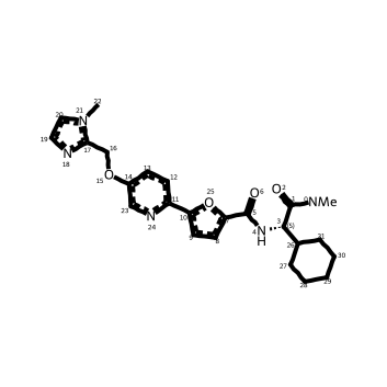 CNC(=O)[C@@H](NC(=O)c1ccc(-c2ccc(OCc3nccn3C)cn2)o1)C1CCCCC1